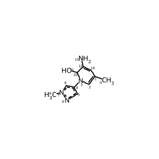 CC1=CN(c2cnn(C)c2)C(O)C(N)=C1